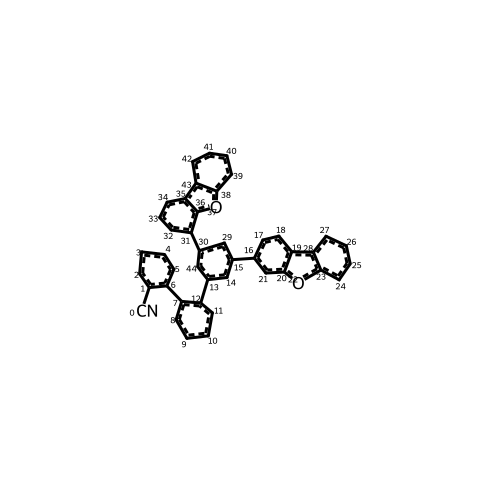 N#Cc1ccccc1-c1ccccc1-c1cc(-c2ccc3c(c2)oc2ccccc23)cc(-c2cccc3c2oc2ccccc23)c1